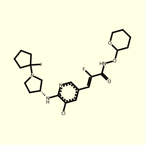 O=C(NOC1CCCCO1)C(F)=Cc1cnc(N[C@@H]2CCN(C3(I)CCCC3)C2)c(Cl)c1